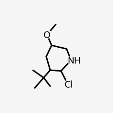 COC1CNC(Cl)C(C(C)(C)C)C1